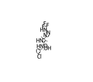 Cc1[nH]c(C(=O)N[C@H](CO)c2cccc(Cl)c2)c(C)c1-c1ccnc(NCC(F)(F)F)n1